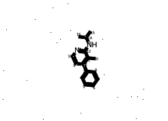 Cc1c(-c2ccccc2)ccnc1NC(C)C